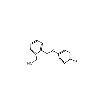 N#CCc1ccccc1CSc1ccc(F)cc1